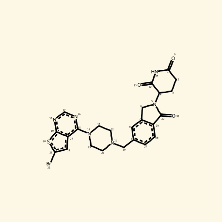 O=C1CCC(N2Cc3cc(CN4CCN(c5ncnc6sc(Br)cc56)CC4)ccc3C2=O)C(=O)N1